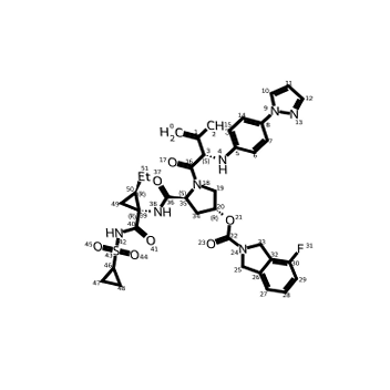 C=C(C)[C@H](Nc1ccc(-n2cccn2)cc1)C(=O)N1C[C@H](OC(=O)N2Cc3cccc(F)c3C2)C[C@H]1C(=O)N[C@]1(C(=O)NS(=O)(=O)C2CC2)C[C@H]1CC